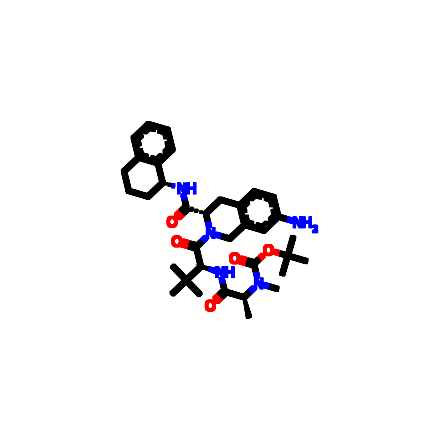 C[C@@H](C(=O)N[C@H](C(=O)N1Cc2cc(N)ccc2C[C@H]1C(=O)N[C@@H]1CCCc2ccccc21)C(C)(C)C)N(C)C(=O)OC(C)(C)C